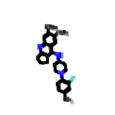 COc1cc2nc3c(c(NC4CCN(c5ccc(C)cc5F)CC4)c2cc1OC)CCC3